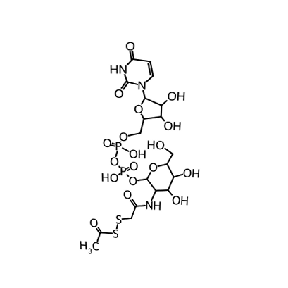 CC(=O)SSCC(=O)NC1C(OP(=O)(O)OP(=O)(O)OCC2OC(n3ccc(=O)[nH]c3=O)C(O)C2O)OC(CO)C(O)C1O